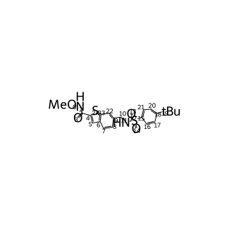 CONC(=O)c1cc2ccc(CNS(=O)(=O)c3ccc(C(C)(C)C)cc3)cc2s1